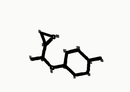 CC1CCC(OC(C)C2CO2)CC1